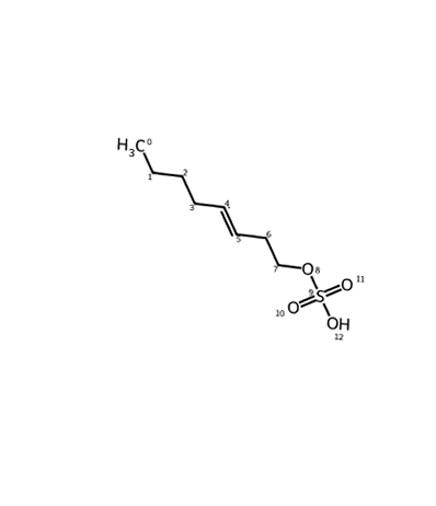 CCCC/[C]=C/CCOS(=O)(=O)O